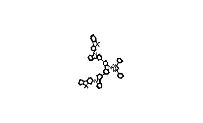 CC1(C)c2ccccc2-c2ccc(-n3c4ccccc4c4cc(-c5ccc6c(c5)c5cc(-c7ccc8c(c7)c7ccccc7n8-c7ccc8c(c7)C(C)(C)c7ccccc7-8)ccc5n6-c5nc(-c6ccccc6)cc(-c6ccccc6)n5)ccc43)cc21